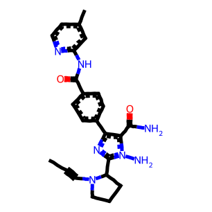 CC#CN1CCCC1c1nc(-c2ccc(C(=O)Nc3cc(C)ccn3)cc2)c(C(N)=O)n1N